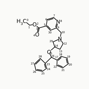 CCOC(=O)c1ccnc(CN2CCC(OC(c3ccccc3)c3ccccc3)C2)c1